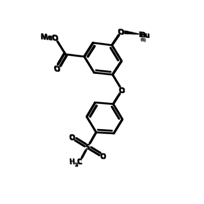 CC[C@H](C)Oc1cc(Oc2ccc(S(C)(=O)=O)cc2)cc(C(=O)OC)c1